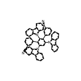 N#Cc1cccc(-c2c(-n3c4ccccc4c4ccccc43)cc(-n3c4ccccc4c4ccccc43)c(-c3cccc(C#N)c3)c2-n2c3ccccc3c3ccccc32)c1